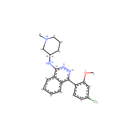 COc1cc(Cl)ccc1-c1nnc(N[C@@H]2CCCN(C)C2)c2ccccc12